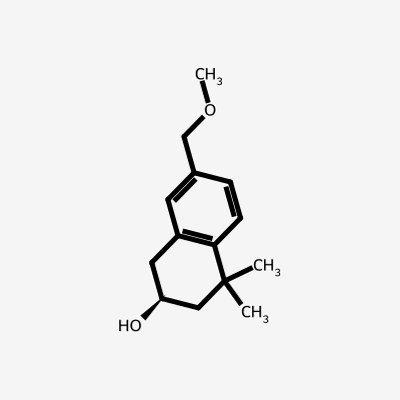 COCc1ccc2c(c1)C[C@H](O)CC2(C)C